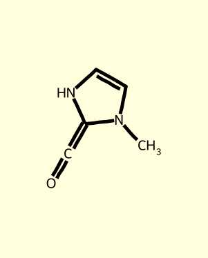 CN1C=CNC1=C=O